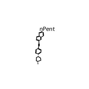 CCCCCc1ccc2cc(C#Cc3ccc([C@H]4CC[C@H](C)CC4)cc3)ccc2c1